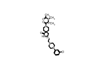 CC(=O)N(C)[C@H](C)C(=O)N1CCC2(CC1)C[C@H](CCN1CCN(c3cccc(Cl)c3)CC1)NC2=O